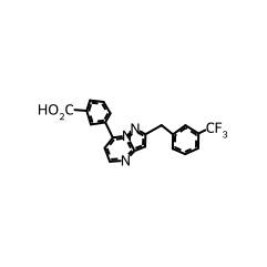 O=C(O)c1cccc(-c2ccnc3cc(Cc4cccc(C(F)(F)F)c4)nn23)c1